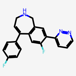 Fc1ccc(C2=CCNCc3cc(-c4cccnn4)c(F)cc32)cc1